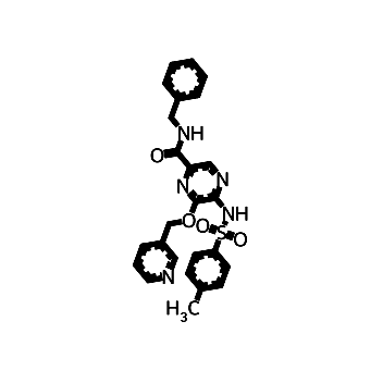 Cc1ccc(S(=O)(=O)Nc2ncc(C(=O)NCc3ccccc3)nc2OCc2cccnc2)cc1